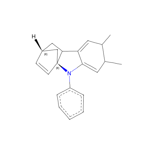 CC1C=C2C(=CC1C)N(c1ccccc1)[C@]13C=C[C@H](CC21)C3